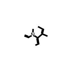 C=CN(C)C(=C\C)/C(C)=C\C